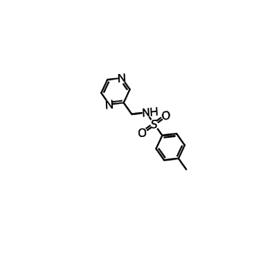 Cc1ccc(S(=O)(=O)NCc2cnccn2)cc1